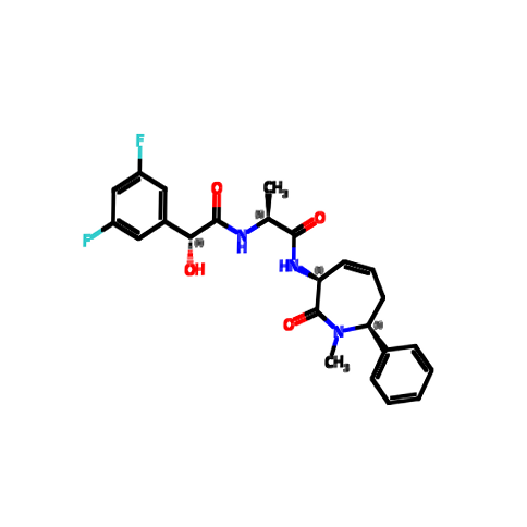 C[C@H](NC(=O)[C@H](O)c1cc(F)cc(F)c1)C(=O)N[C@H]1C=CC[C@@H](c2ccccc2)N(C)C1=O